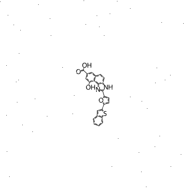 O=C(O)c1cc(O)c2c(ccc3[nH]c(-c4ccc(-c5cc6ccccc6s5)o4)nc32)c1